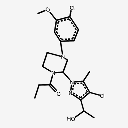 CCC(=O)N1CCN(c2ccc(Cl)c(OC)c2)CC1n1nc(C(C)O)c(Cl)c1C